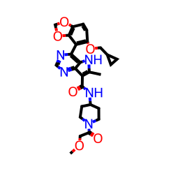 COCC(=O)N1CCC(NC(=O)c2c(C)[nH]c3c(-c4c(OCC5CC5)ccc5c4OCO5)ncnc23)CC1